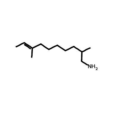 C/C=C(\C)CCCCCC(C)CN